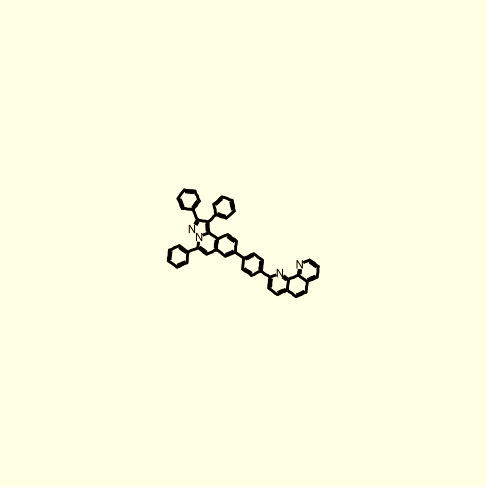 c1ccc(-c2nn3c(-c4ccccc4)cc4cc(-c5ccc(-c6ccc7ccc8cccnc8c7n6)cc5)ccc4c3c2-c2ccccc2)cc1